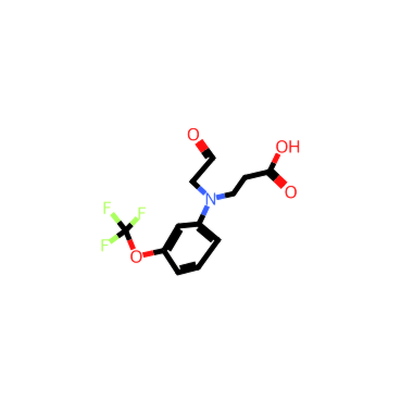 O=CCN(CCC(=O)O)c1cccc(OC(F)(F)F)c1